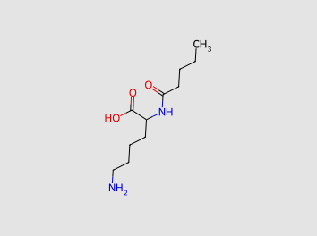 CCCCC(=O)NC(CCCCN)C(=O)O